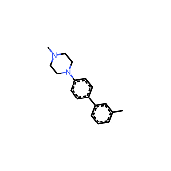 Cc1[c]ccc(-c2ccc(N3CCN(C)CC3)cc2)c1